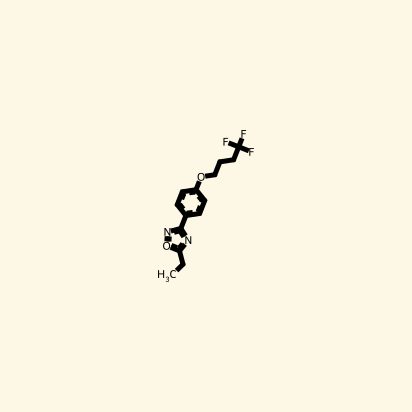 CCc1nc(-c2ccc(OCCCC(F)(F)F)cc2)no1